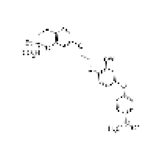 CCCc1cc(Oc2ccc([S+](C)[O-])cc2)ccc1OCCOc1ccc2c(c1)OC(CC)(C(=O)O)CC2